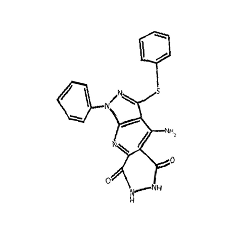 Nc1c2c(Sc3ccccc3)nn(-c3ccccc3)c2nc2c(=O)[nH][nH]c(=O)c12